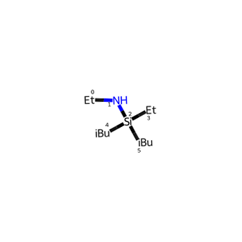 CCN[Si](CC)(C(C)CC)C(C)CC